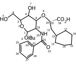 CC(C)COC1OC(CO)C(O)C(O[C@@H](CC2CCCCC2)C(=O)O)C1NC(=O)c1ccccc1